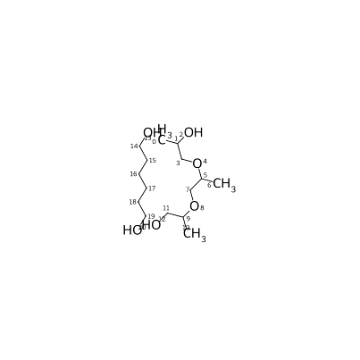 CC(O)COC(C)COC(C)CO.OCCCCCCO